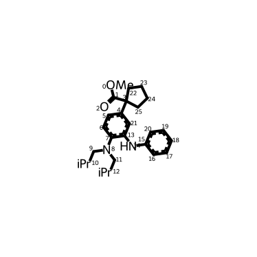 COC(=O)C1(c2ccc(N(CC(C)C)CC(C)C)c(Nc3ccccc3)c2)CCCC1